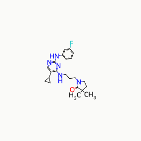 CC1(C)CCN(CCCNc2nc(Nc3cccc(F)c3)ncc2C2CC2)C1=O